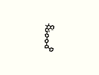 Cc1c(C)c2ccc(-c3ccc(-c4ccc(-c5cccc(-c6ccccc6)c5)cc4)cc3)nc2c2ncccc12